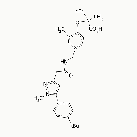 CCCC(C)(Oc1ccc(CNC(=O)Cc2cc(-c3ccc(C(C)(C)C)cc3)n(C)n2)cc1C)C(=O)O